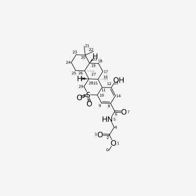 COC(=O)CNC(=O)C1=CC2C(C(O)=C1)[C@]1(C)CC[C@H]3C(C)(C)CCC[C@]3(C)[C@H]1CS2(=O)=O